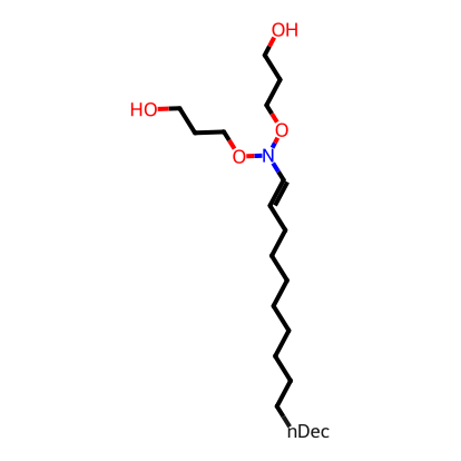 CCCCCCCCCCCCCCCCCCC=CN(OCCCO)OCCCO